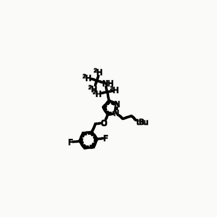 [2H]C([2H])([2H])NC([2H])([2H])c1cc(OCc2cc(F)ccc2F)n(CCC(C)(C)C)n1